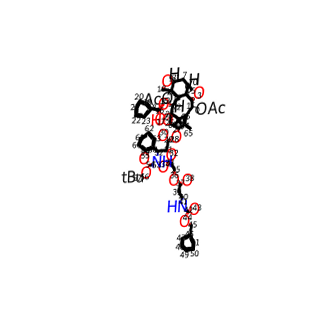 CC(=O)O[C@H]1C(=O)[C@]23C[C@H]2C[C@H]2OC[C@@]2(OC(C)=O)[C@H]3[C@H](OC(=O)c2ccccc2)[C@]2(O)C[C@H](OC(=O)[C@H](OC(=O)COC(=O)CCNC(=O)OCc3ccccc3)[C@@H](NC(=O)OC(C)(C)C)c3ccccc3)C(C)=C1C2(C)C